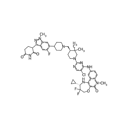 Cn1nc(C2CCC(=O)NC2=O)c2cc(F)c(C3CCN(C[C@@H]4CCN(c5ncc(Cl)c(Nc6ccc7c(c6)c6c(c(=O)n7C)OCC(F)(F)[C@H](C7CC7)N6)n5)CC4(C)C)CC3)cc21